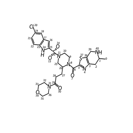 CC1Cc2nc(C(=O)N3CCN(S(=O)(=O)c4cc5cc(Cl)ccc5[nH]4)CC3CCC(=O)N3CCOCC3)sc2CN1